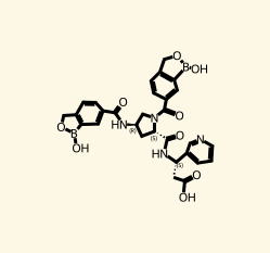 O=C(O)C[C@H](NC(=O)[C@@H]1C[C@@H](NC(=O)c2ccc3c(c2)B(O)OC3)CN1C(=O)c1ccc2c(c1)B(O)OC2)c1cccnc1